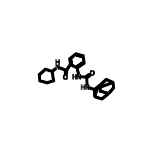 O=C(Nc1ccccc1C(=O)NC1CCCCC1)NC1C2CC3CC(C2)CC1C3